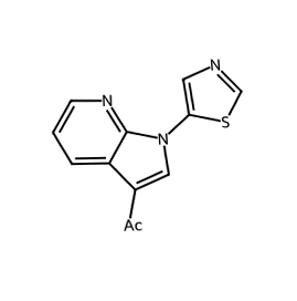 CC(=O)c1cn(-c2cncs2)c2ncccc12